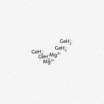 [GeH2-].[GeH2-].[GeH2-].[GeH2-].[Mg+2].[Mg+2]